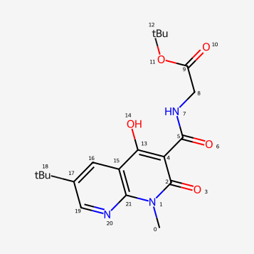 Cn1c(=O)c(C(=O)NCC(=O)OC(C)(C)C)c(O)c2cc(C(C)(C)C)cnc21